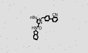 CCCCc1cc(C(=O)NC2Cc3ccccc3C2)nn1Cc1ccc(-c2ccccc2C#N)cc1